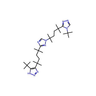 CC(C)(C)c1[nH]nnc1C(C)(C)CCC(C)(C)c1ncn(C(C)(C)CCC(C)(C)c2nncn2C(C)(C)C)n1